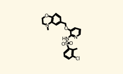 Cc1c(Cl)cccc1S(=O)(=O)Nc1ncccc1OCc1ccc2c(c1)N(C)CCO2